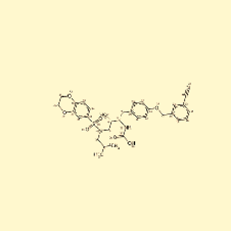 CC(C)CN(C[C@H](O)[C@H](Cc1ccc(OCc2cccc(C#N)c2)cc1)NC(=O)O)S(=O)(=O)c1ccc2c(c1)OCCO2